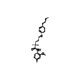 CCCCc1ccc(OCCCC(C)(C)C(=O)Nc2ccc(C)cc2OC)cc1